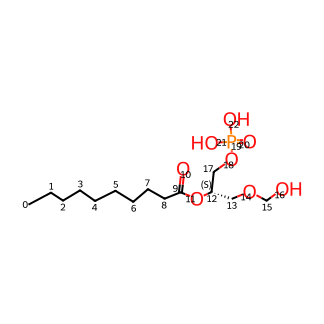 CCCCCCCCCC(=O)O[C@@H](COCO)COP(=O)(O)O